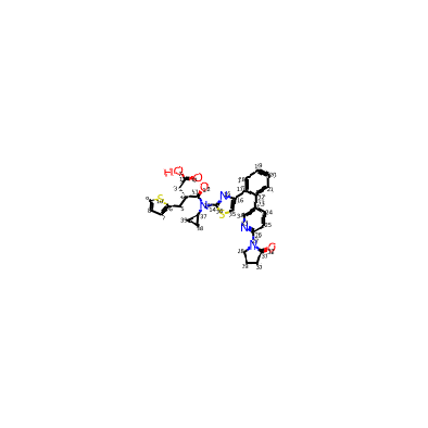 O=C(O)C[C@@H](Cc1cccs1)C(=O)N(c1nc(-c2ccccc2-c2ccc(N3CCCC3=O)nc2)cs1)C1CC1